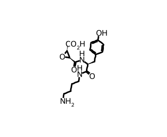 NCCCCNC(=O)[C@H](Cc1ccc(O)cc1)NC(=O)[C@H]1O[C@@H]1C(=O)O